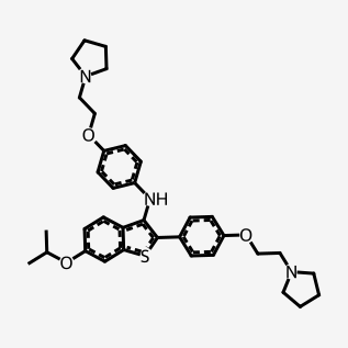 CC(C)Oc1ccc2c(Nc3ccc(OCCN4CCCC4)cc3)c(-c3ccc(OCCN4CCCC4)cc3)sc2c1